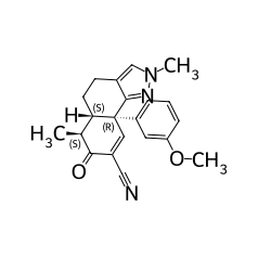 COc1cccc([C@]23C=C(C#N)C(=O)[C@@H](C)[C@@H]2CCc2cn(C)nc23)c1